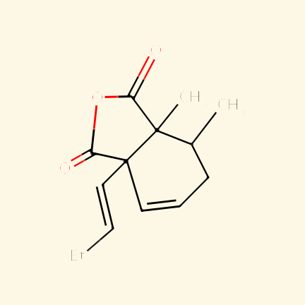 CCC=CC12C=CCC(C)C1(C)C(=O)OC2=O